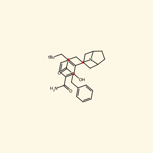 CC(C)(C)CN(CCN1C2CCC1CC(c1cccc(C(N)=O)c1O)C2)C(=O)OCc1ccccc1